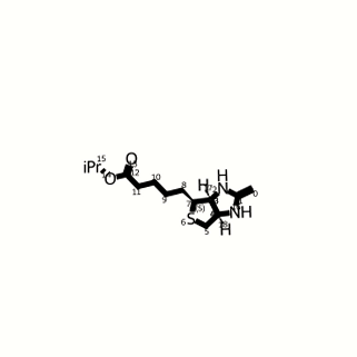 C=C1N[C@H]2[C@H](CS[C@H]2CCCCC(=O)OC(C)C)N1